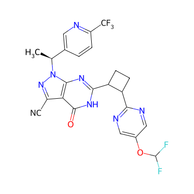 C[C@@H](c1ccc(C(F)(F)F)nc1)n1nc(C#N)c2c(=O)[nH]c(C3CCC3c3ncc(OC(F)F)cn3)nc21